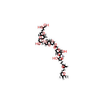 C=C1C[C@H](CC[C@@H]2C[C@@H](O)C([C@@H]3O[C@H]4CC[C@H](CC(=O)O[C@H]5CO[C@H]6C[C@H]7O[C@@H](C[C@@H]8O[C@@]9(CC[C@@H]8O)C[C@H](C)[C@@H]8O[C@H](CC[C@@H](O)CO)C[C@@H]8O9)CC7OC6C5)O[C@@H]4[C@H](O)[C@@H]3I)O2)O[C@H]1CC[C@H]1C[C@@H](C)C(=C)[C@@H](CC)O1